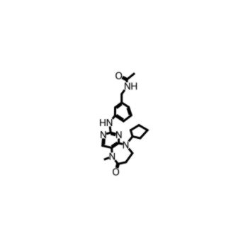 CC(=O)NCc1cccc(Nc2ncc3c(n2)N(C2CCCC2)CCC(=O)N3C)c1